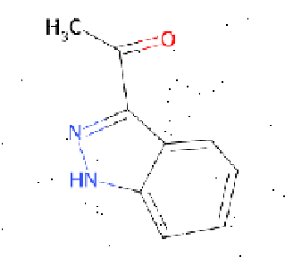 CC(=O)c1n[nH]c2c[c]ccc12